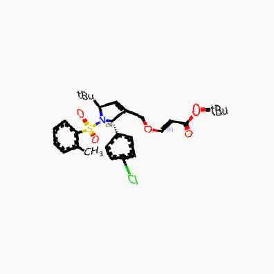 Cc1ccccc1S(=O)(=O)N1C(C(C)(C)C)C=C(CO/C=C/C(=O)OC(C)(C)C)[C@@H]1c1ccc(Cl)cc1